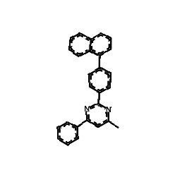 Cc1cc(-c2ccccc2)nc(-c2ccc(-c3cccc4ccccc34)cc2)n1